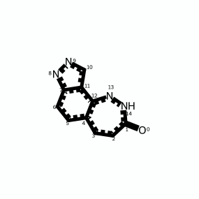 O=c1ccc2ccc3nncc3c2n[nH]1